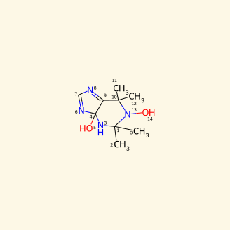 CC1(C)NC2(O)N=CN=C2C(C)(C)N1O